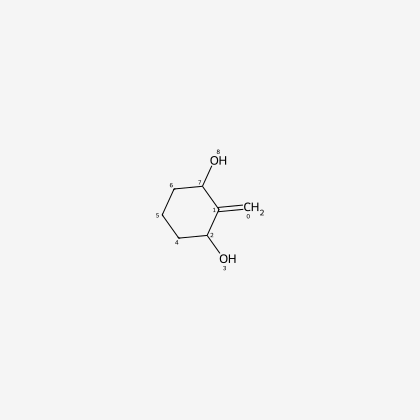 C=C1C(O)CCCC1O